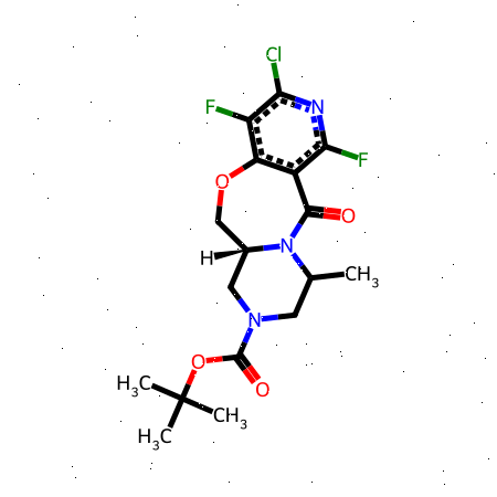 CC1CN(C(=O)OC(C)(C)C)C[C@@H]2COc3c(F)c(Cl)nc(F)c3C(=O)N12